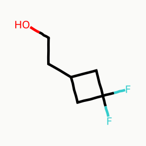 OCCC1CC(F)(F)C1